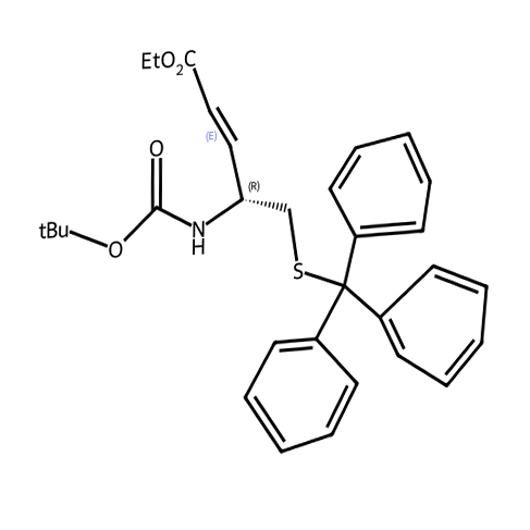 CCOC(=O)/C=C/[C@H](CSC(c1ccccc1)(c1ccccc1)c1ccccc1)NC(=O)OC(C)(C)C